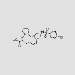 COC(=O)CCC/C=C\[C@@H]1C[C@@H](NS(=O)(=O)c2ccc(Cl)cc2)CN1Cc1ccccc1Cl